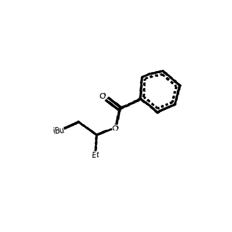 CCC(C)CC(CC)OC(=O)c1ccccc1